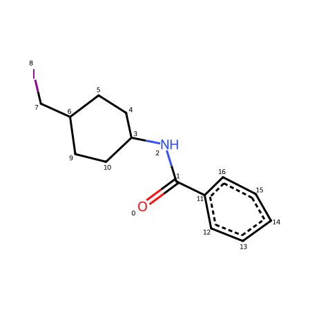 O=C(NC1CCC(CI)CC1)c1ccccc1